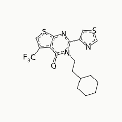 O=c1c2c(C(F)(F)F)csc2nc(-c2cscn2)n1CCC1CCCCC1